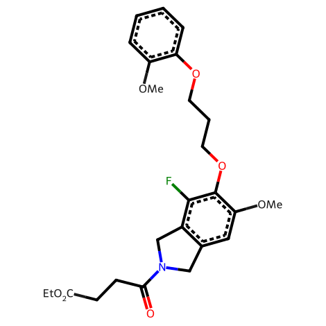 CCOC(=O)CCC(=O)N1Cc2cc(OC)c(OCCCOc3ccccc3OC)c(F)c2C1